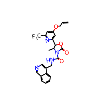 C=CCOc1cc(C2OC(=O)N(C(=O)NCc3cncc4ccccc34)C2C)nc(C(F)(F)F)c1